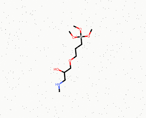 CNCC(O)COCCC[Si](OC)(OC)OC